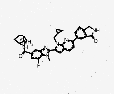 Cn1c(-c2cc3ccc(-c4ccc5c(c4)C(=O)NC5)nc3n2CC2CC2)nc2cc(C(=O)N3CC4CCC3[C@@H]4N)cc(F)c21